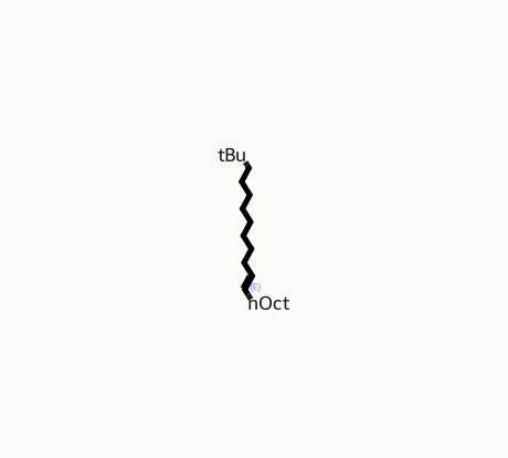 [CH2]C(C)(C)CCCCCCCC/C=C/CCCCCCCC